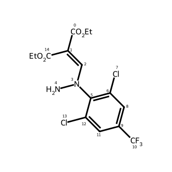 CCOC(=O)C(=CN(N)c1c(Cl)cc(C(F)(F)F)cc1Cl)C(=O)OCC